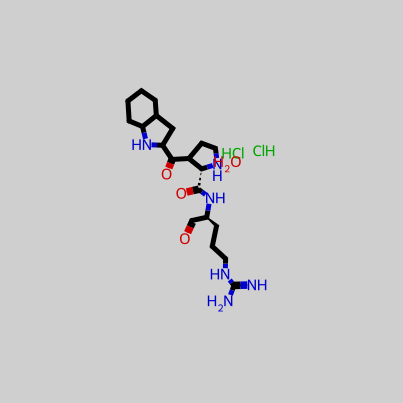 Cl.Cl.N=C(N)NCCC[C@@H](C=O)NC(=O)[C@H]1NCCC1C(=O)C1CC2CCCCC2N1.O